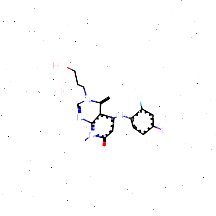 C=C1c2c(Nc3ccc(I)cc3F)cc(=O)n(C)c2N=CN1C[C@H](O)CO